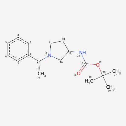 C[C@H](c1ccccc1)N1CC[C@H](NC(=O)OC(C)(C)C)C1